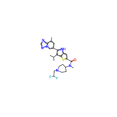 Cc1cc(-c2[nH]c3cc(C(=O)N(C)C4CCN(CC(F)F)CC4)sc3c2C(C)C)cn2ncnc12